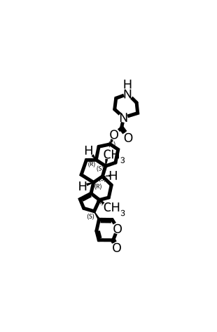 C[C@]12CC[C@H](OC(=O)N3CCNCC3)C[C@H]1CC[C@H]1C3=CC[C@H](c4ccc(=O)oc4)[C@@]3(C)CC[C@@H]12